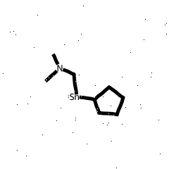 CN(C)[CH2][Sn][CH]1CCCC1